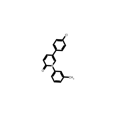 Cc1cccc(-n2cc(-c3ccc(Cl)cc3)ccc2=O)c1